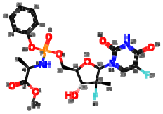 CC(C)OC(=O)[C@@H](C)NP(=O)(OC[C@H]1OC(n2cc(F)c(=O)[nH]c2=O)[C@](C)(F)[C@@H]1O)Oc1ccccc1